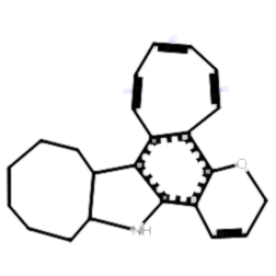 C1=Cc2c3c(c4c(c2OC1)\C=C/C=C\C=C/4)C1CCCCCCC1N3